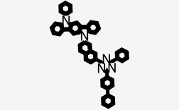 c1ccc(-c2ccc(-c3nc(-c4ccccc4)nc(-c4ccc5ccc(-n6c7ccccc7c7cc8c(cc76)c6ccccc6n8-c6ccccc6)cc5c4)n3)cc2)cc1